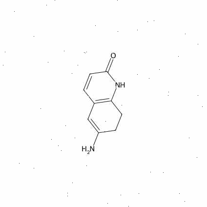 NC1=Cc2ccc(=O)[nH]c2CC1